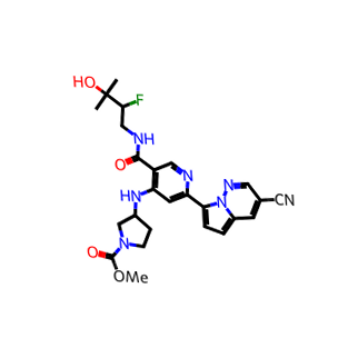 COC(=O)N1CCC(Nc2cc(-c3ccc4cc(C#N)cnn34)ncc2C(=O)NCC(F)C(C)(C)O)C1